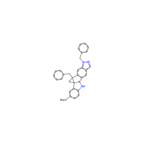 COc1ccc2c(c1)C1(CC1(Cc1ccccc1)c1ccc3cnn(Cc4ccccc4)c3c1)C(=O)N2